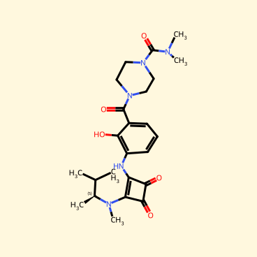 CC(C)[C@H](C)N(C)c1c(Nc2cccc(C(=O)N3CCN(C(=O)N(C)C)CC3)c2O)c(=O)c1=O